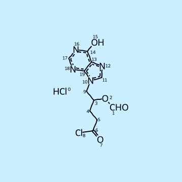 Cl.O=COC(CCC(=O)Cl)Cn1cnc2c(O)ncnc21